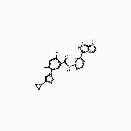 Cc1cc(F)c(C(=O)Nc2cccc(-c3nnc4[nH]ccn34)n2)cc1-n1cnc(C2CC2)c1